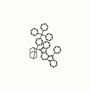 c1ccc(-n2c3ccccc3c3ccc4c(c5ccccc5n4C4(c5ccc([Si](c6ccccc6)(c6ccccc6)c6ccccc6)cc5)C5CC6CC(C5)CC4C6)c32)cc1